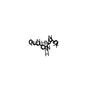 Fc1ccc(-c2cncc3[nH]c(-c4n[nH]c5ccc(-c6cncc(CN7CCCCC7)c6)cc45)cc23)s1